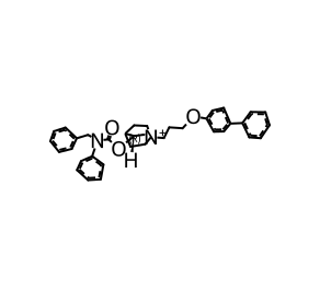 O=C(O[C@H]1C[N+]2(CCCOc3ccc(-c4ccccc4)cc3)CCC1CC2)N(Cc1ccccc1)c1ccccc1